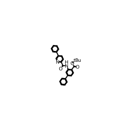 CC(C)(C)OC(=O)c1ccc(-c2ccccc2)cc1NC(=O)c1ccc(-c2ccccc2)cn1